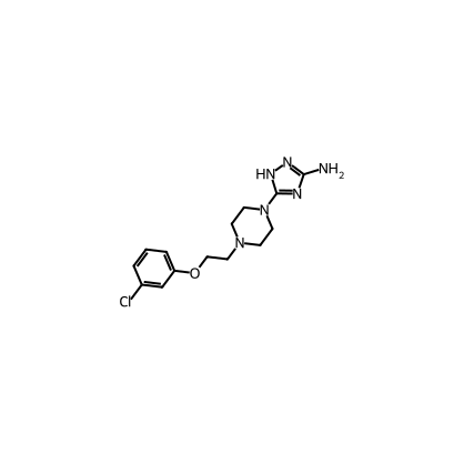 Nc1n[nH]c(N2CCN(CCOc3cccc(Cl)c3)CC2)n1